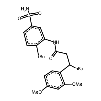 CCCCC(CC(=O)Nc1cc(S(N)(=O)=O)ccc1C(C)(C)C)c1ccc(OC)cc1OC